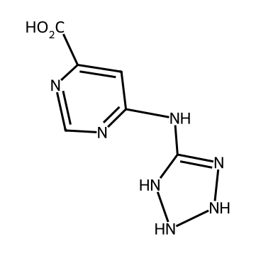 O=C(O)c1cc(NC2=NNNN2)ncn1